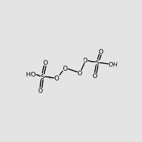 O=S(=O)(O)OOOOS(=O)(=O)O